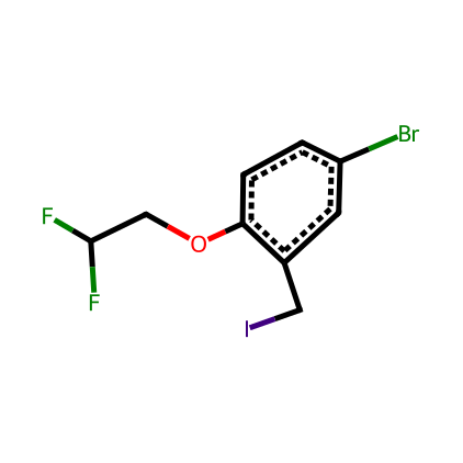 FC(F)COc1ccc(Br)cc1CI